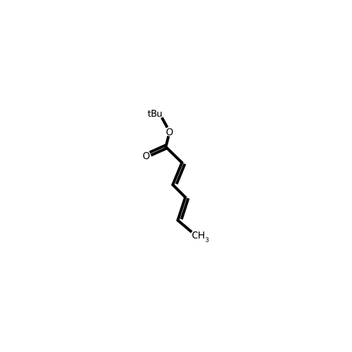 CC=CC=CC(=O)OC(C)(C)C